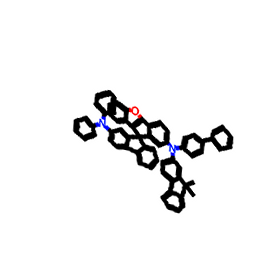 CC1(C)c2ccccc2-c2ccc(N(c3ccc(-c4ccccc4)cc3)c3ccc4c(c3)C3(c5ccccc5-c5ccc(N(c6ccccc6)c6ccccc6)cc53)c3c-4oc4ccccc34)cc21